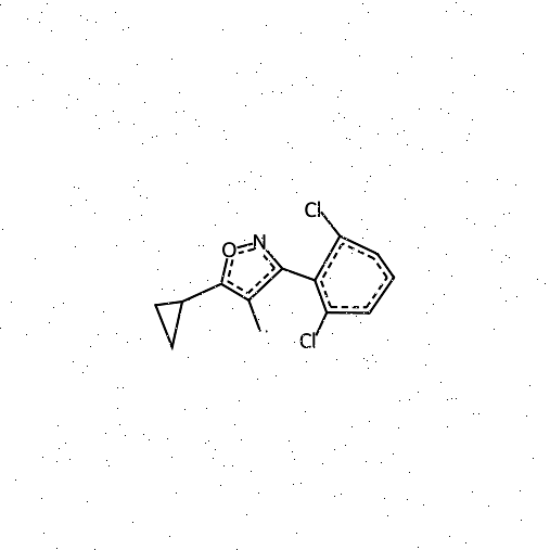 [CH2]c1c(-c2c(Cl)cccc2Cl)noc1C1CC1